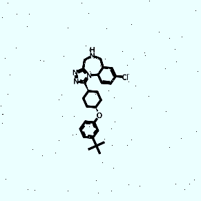 CC(C)(C)c1cccc(O[C@H]2CC[C@H](c3nnc4n3C3C=CC(Cl)=CC3CNC4)CC2)c1